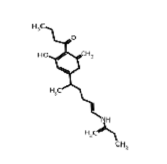 C=C(CC)N/C=C/CCC(C)C1=CC(O)=C(C(=O)CCC)C(=C)C1